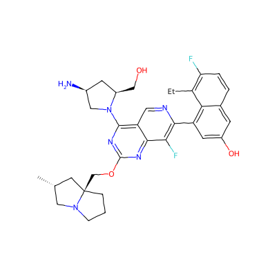 CCc1c(F)ccc2cc(O)cc(-c3ncc4c(N5C[C@@H](N)C[C@H]5CO)nc(OC[C@@]56CCCN5C[C@H](C)C6)nc4c3F)c12